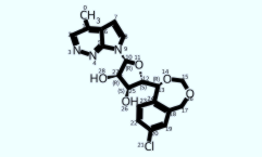 Cc1cnnc2c1ccn2[C@@H]1O[C@H]([C@@H]2OCOCc3cc(Cl)ccc32)[C@@H](O)[C@H]1O